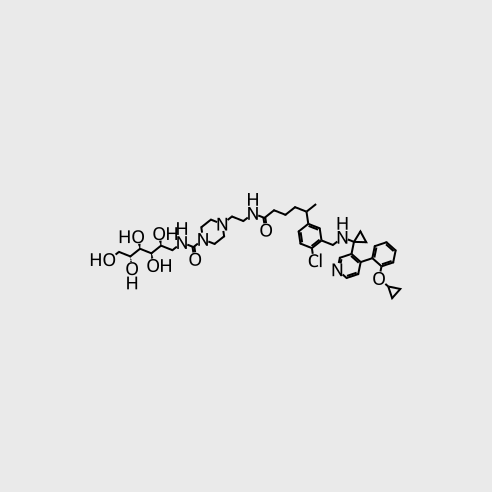 CC(CCCC(=O)NCCN1CCN(C(=O)NC[C@H](O)[C@@H](O)[C@H](O)[C@H](O)CO)CC1)c1ccc(Cl)c(CNC2(c3cnccc3-c3ccccc3OC3CC3)CC2)c1